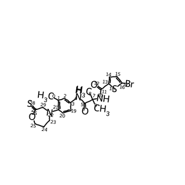 Cc1cc(NC(=O)C(C)(C)NC(=O)c2ccc(Br)s2)ccc1N1CCCOC(=S)C1